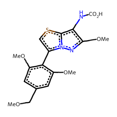 COCc1cc(OC)c(-c2csc3c(NC(=O)O)c(OC)nn23)c(OC)c1